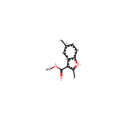 CCCOC(=O)c1c(C)oc2ccc(C)cc12